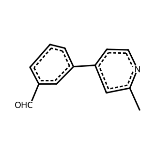 Cc1cc(-c2cccc(C=O)c2)ccn1